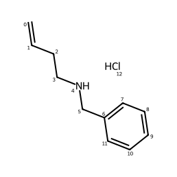 C=CCCNCc1ccccc1.Cl